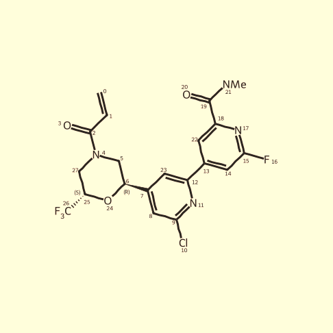 C=CC(=O)N1C[C@@H](c2cc(Cl)nc(-c3cc(F)nc(C(=O)NC)c3)c2)O[C@H](C(F)(F)F)C1